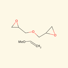 C(OCC1CO1)C1CO1.C=COC